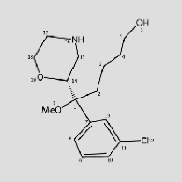 COC(CCCCO)(c1cccc(Cl)c1)[C@H]1CNCCO1